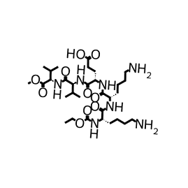 CCOC(=O)N[C@@H](CCCCN)C(=O)N[C@@H](CCCCN)C(=O)N[C@@H](CCC(=O)O)C(=O)N[C@H](C(=O)N[C@H](C(=O)OC)C(C)C)C(C)C